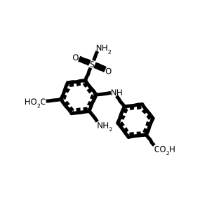 Nc1cc(C(=O)O)cc(S(N)(=O)=O)c1Nc1ccc(C(=O)O)cc1